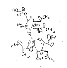 C=C(C)C(=O)OC1[C@H](COC[C@H]2C(NC(C)=O)[C@H](COC)OC(COS(=O)(=O)O)[C@@H]2O)OC(C(=O)O)[C@@H](COC)[C@H]1O